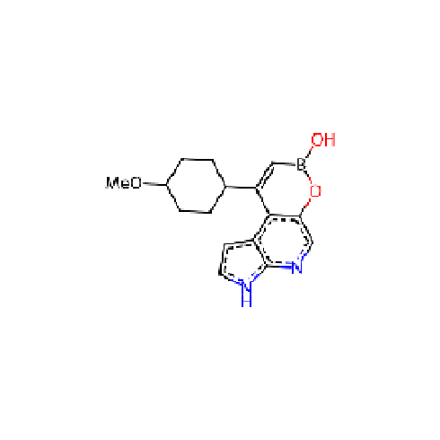 COC1CCC(C2=CB(O)Oc3cnc4[nH]ccc4c32)CC1